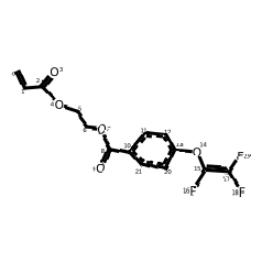 C=CC(=O)OCCOC(=O)c1ccc(OC(F)=C(F)F)cc1